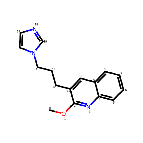 COc1nc2ccccc2cc1CCCn1ccnc1